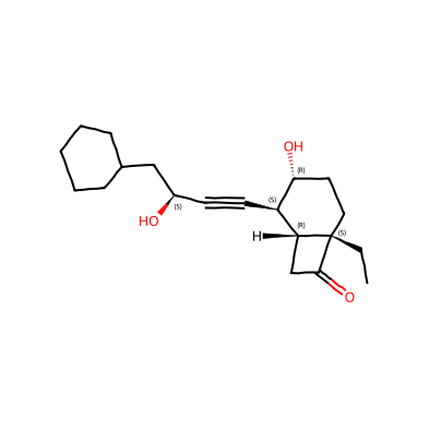 CC[C@]12CC[C@@H](O)[C@H](C#C[C@@H](O)CC3CCCCC3)[C@H]1CC2=O